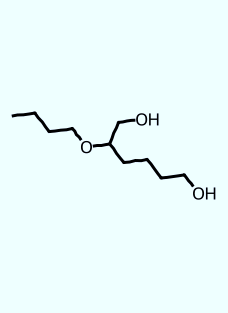 CCCCOC(CO)CCCCO